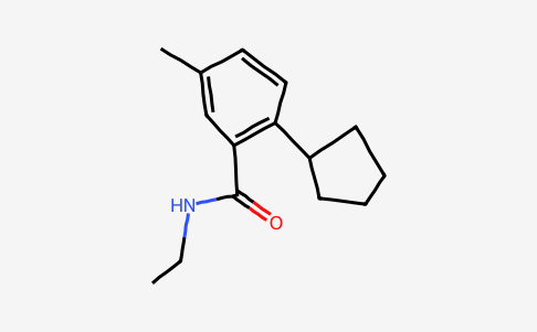 CCNC(=O)c1cc(C)ccc1C1CCCC1